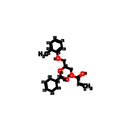 C=CC(=O)OCC(COc1ccccc1C)OC(=O)C1CC=CCC1